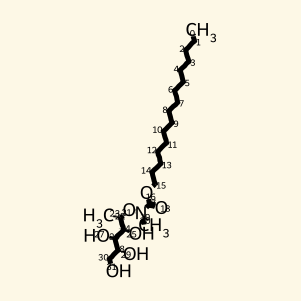 CCCCCCCCCCCCCCCCOC(=O)N(C)O[C@@H](C)[C@@H](O)[C@H](O)[C@H](O)CO